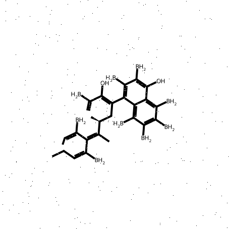 BC(=C)/C(O)=C(\C[C@H](C)/C(C)=C(C(\B)=C/C)/C(B)=C\CC)c1c(B)c(B)c(O)c2c(B)c(B)c(B)c(B)c12